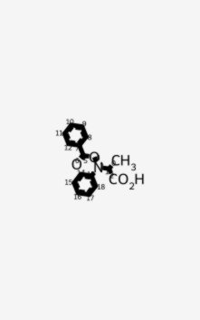 CC(C(=O)O)N(OC(=O)c1ccccc1)c1ccccc1